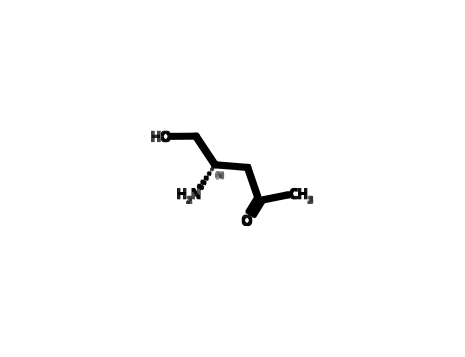 CC(=O)C[C@H](N)CO